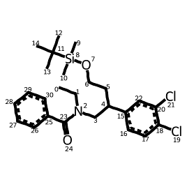 CCN(CC(CCO[Si](C)(C)C(C)(C)C)c1ccc(Cl)c(Cl)c1)C(=O)c1ccccc1